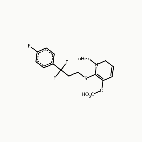 CCCCCCN1CC=CC(OC(=O)O)=C1SCCC(F)(F)c1ccc(F)cc1